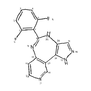 Fc1cccc(F)c1C1=Nc2ccncc2-c2[nH]ncc2N1